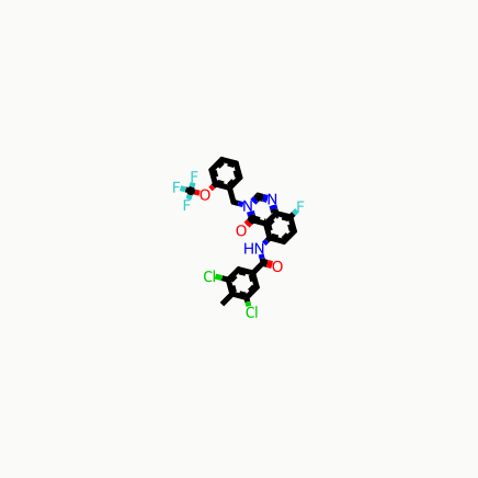 Cc1c(Cl)cc(C(=O)Nc2ccc(F)c3ncn(Cc4ccccc4OC(F)(F)F)c(=O)c23)cc1Cl